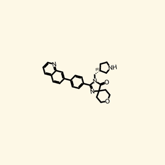 O=C1N(C[C@@H]2CCNC2)C(c2ccc(-c3ccc4cccnc4c3)cc2)=NC12CCOCC2